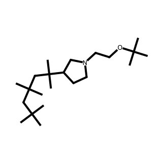 CC(C)(C)CC(C)(C)CC(C)(C)C1CCN(CCOC(C)(C)C)C1